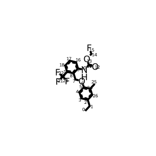 CCc1ccc(OCc2c(NC(=O)OCF)cccc2C(F)(F)F)c(C)c1